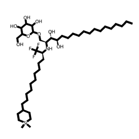 CCCCCCCCCCCCCC[C@@H](O)[C@@H](O)[C@H](COC1OC(CO)C(O)C(O)C1O)N[C@@H](CCCCCCCCCCC1CC[Si](C)(C)CC1)C(F)(F)F